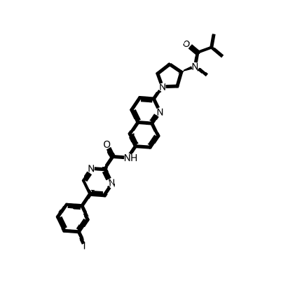 CC(C)C(=O)N(C)[C@@H]1CCN(c2ccc3cc(NC(=O)c4ncc(-c5cccc(I)c5)cn4)ccc3n2)C1